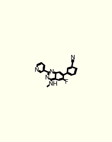 CNc1nc(-c2cccnc2)nc2cc(-c3cccc(C#N)c3)c(F)cc12